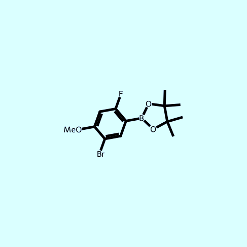 COc1cc(F)c(B2OC(C)(C)C(C)(C)O2)cc1Br